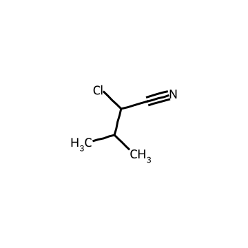 CC(C)C(Cl)C#N